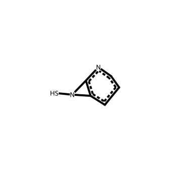 SN1c2cccnc21